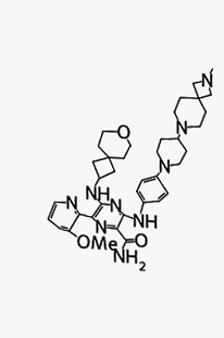 COc1cccnc1-c1nc(C(N)=O)c(Nc2ccc(N3CCC(N4CCC5(CC4)CN(C)C5)CC3)cc2)nc1NC1CC2(CCOCC2)C1